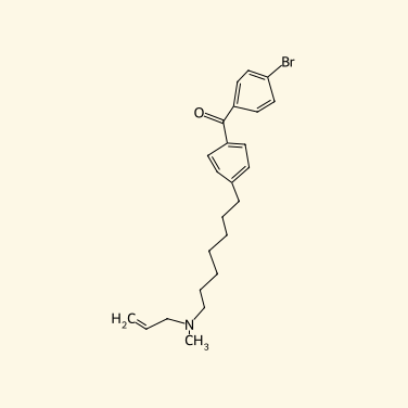 C=CCN(C)CCCCCCCc1ccc(C(=O)c2ccc(Br)cc2)cc1